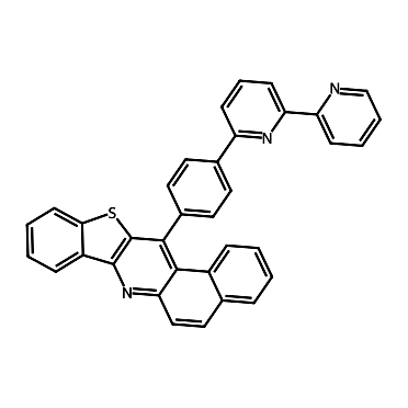 c1ccc(-c2cccc(-c3ccc(-c4c5sc6ccccc6c5nc5ccc6ccccc6c45)cc3)n2)nc1